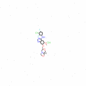 COc1cc2c(Nc3ccc(F)c(Cl)c3F)ncnc2cc1OC[C@@H]1CN2CCOC[C@H]2CO1.Cl